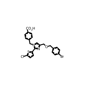 O=C(O)c1ccc(Cn2cc(COCc3ccc(Br)cc3)nc2-c2ccc(Cl)s2)cc1